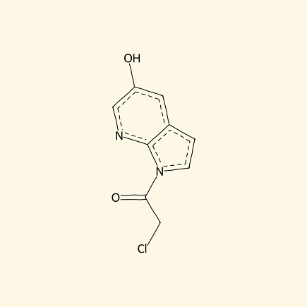 O=C(CCl)n1ccc2cc(O)cnc21